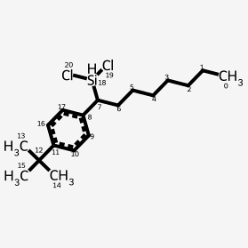 CCCCCCCC(c1ccc(C(C)(C)C)cc1)[SiH](Cl)Cl